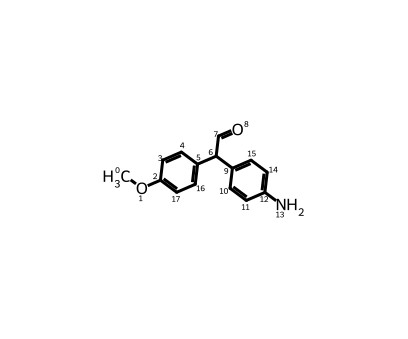 COc1ccc(C(C=O)c2ccc(N)cc2)cc1